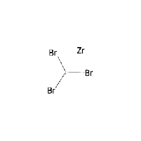 Br[C](Br)Br.[Zr]